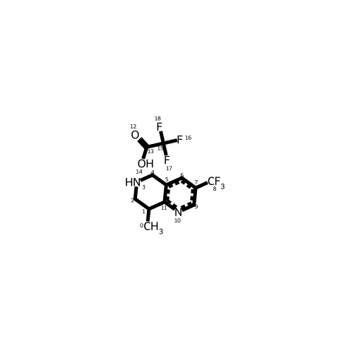 CC1CNCc2cc(C(F)(F)F)cnc21.O=C(O)C(F)(F)F